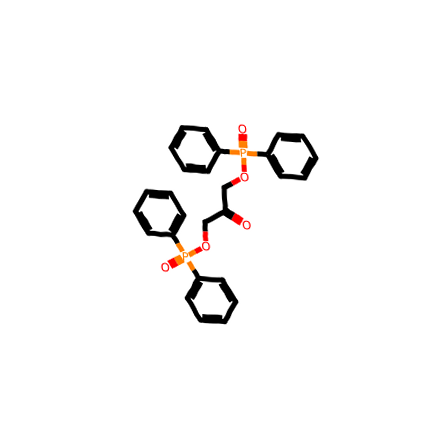 O=C(COP(=O)(c1ccccc1)c1ccccc1)COP(=O)(c1ccccc1)c1ccccc1